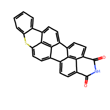 O=c1[nH]c(=O)c2ccc3c4ccc5c6ccccc6sc6ccc(c7ccc1c2c73)c4c65